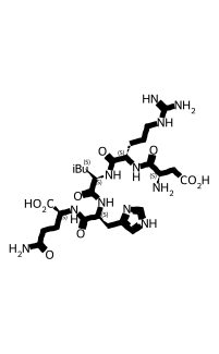 CC[C@H](C)[C@H](NC(=O)[C@H](CCCNC(=N)N)NC(=O)[C@@H](N)CC(=O)O)C(=O)N[C@@H](Cc1c[nH]cn1)C(=O)N[C@@H](CCC(N)=O)C(=O)O